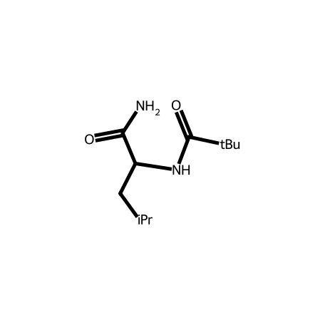 CC(C)CC(NC(=O)C(C)(C)C)C(N)=O